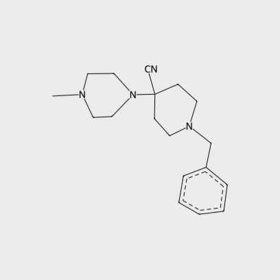 CN1CCN(C2(C#N)CCN(Cc3ccccc3)CC2)CC1